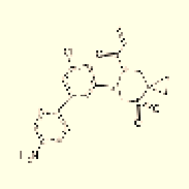 C=CC(=O)N1CC2(CC2)S(=O)(=O)C[C@H]1c1cc(Cl)cc(-c2ncc(N)cn2)c1